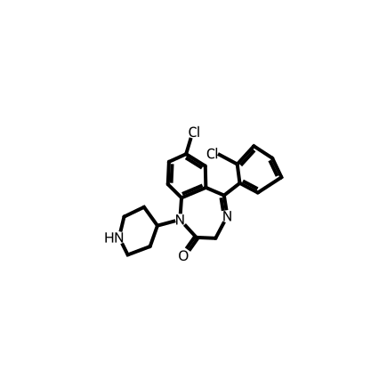 O=C1CN=C(c2ccccc2Cl)c2cc(Cl)ccc2N1C1CCNCC1